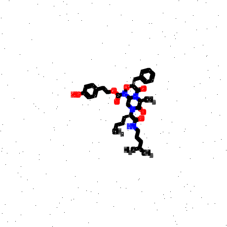 CCCC[C@@H](C(=O)NCCCC(C)C)N1CC2N(C(=O)OCCc3ccc(O)cc3)O[C@H](Cc3ccccc3)C(=O)N2[C@@H](C)C1=O